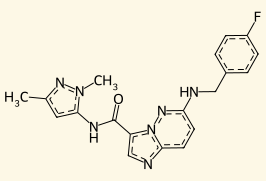 Cc1cc(NC(=O)c2cnc3ccc(NCc4ccc(F)cc4)nn23)n(C)n1